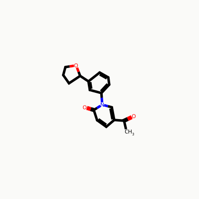 CC(=O)c1ccc(=O)n(-c2cccc(C3CCCO3)c2)c1